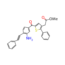 COC(=O)Cc1cc(C(=O)c2ccc(C#Cc3ccccc3)c(N)c2)sc1-c1ccccc1